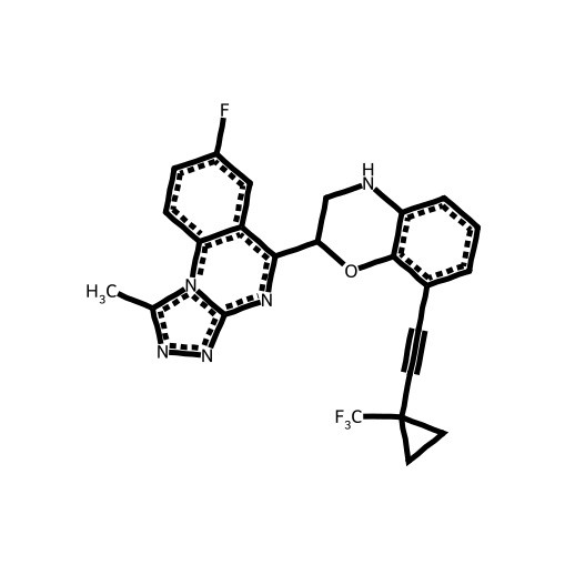 Cc1nnc2nc(C3CNc4cccc(C#CC5(C(F)(F)F)CC5)c4O3)c3cc(F)ccc3n12